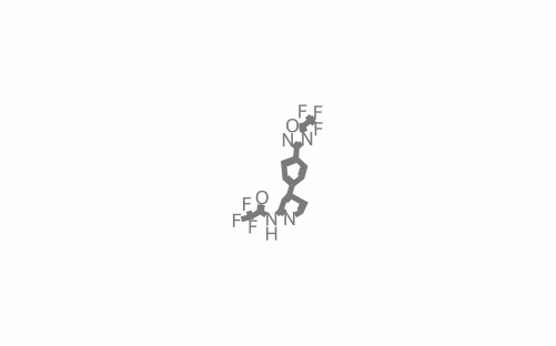 O=C(Nc1cc(-c2ccc(-c3noc(C(F)(F)F)n3)cc2)ccn1)C(F)(F)F